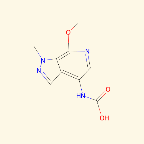 COc1ncc(NC(=O)O)c2cnn(C)c12